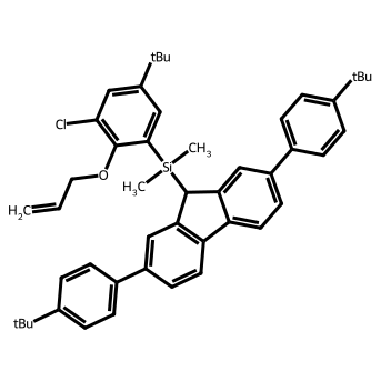 C=CCOc1c(Cl)cc(C(C)(C)C)cc1[Si](C)(C)C1c2cc(-c3ccc(C(C)(C)C)cc3)ccc2-c2ccc(-c3ccc(C(C)(C)C)cc3)cc21